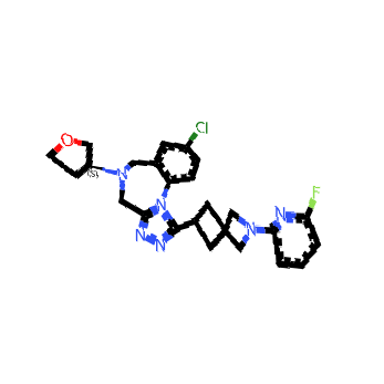 Fc1cccc(N2CC3(CC(c4nnc5n4-c4ccc(Cl)cc4CN([C@H]4CCOC4)C5)C3)C2)n1